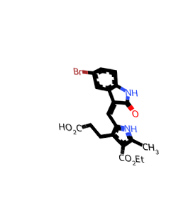 CCOC(=O)c1c(C)[nH]c(/C=C2\C(=O)Nc3ccc(Br)cc32)c1CCC(=O)O